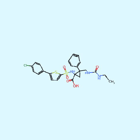 CCNC(=O)NCC1(c2ccccc2)CC1(NS(=O)(=O)c1ccc(-c2ccc(Cl)cc2)s1)C(=O)O